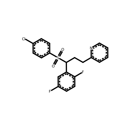 O=S(=O)(c1ccc(Cl)cc1)C(CCc1ccccn1)c1cc(F)ccc1F